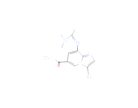 COC(=O)c1cc(N=C(C)N(C)C)c2ncc(Br)n2c1